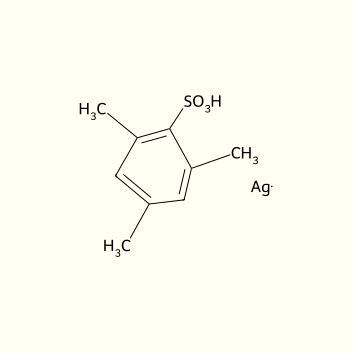 Cc1cc(C)c(S(=O)(=O)O)c(C)c1.[Ag]